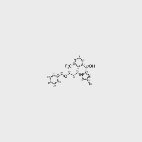 OC(c1cccc(C(F)(F)F)c1)c1nc(I)cn1CCCOCc1ccccc1